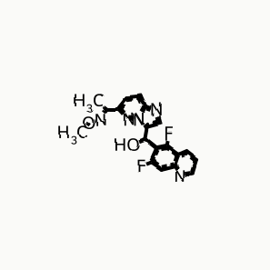 CON=C(C)c1ccc2ncc(C(O)c3c(F)cc4ncccc4c3F)n2n1